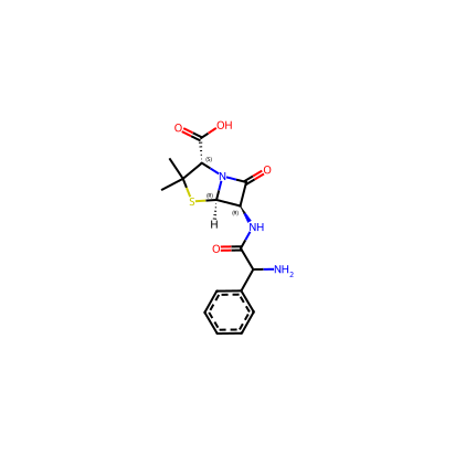 CC1(C)S[C@@H]2[C@H](NC(=O)C(N)c3ccccc3)C(=O)N2[C@H]1C(=O)O